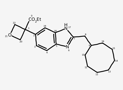 CCOC(=O)C1(c2ccc3nc(CC4CCCCCCC4)[nH]c3c2)COC1